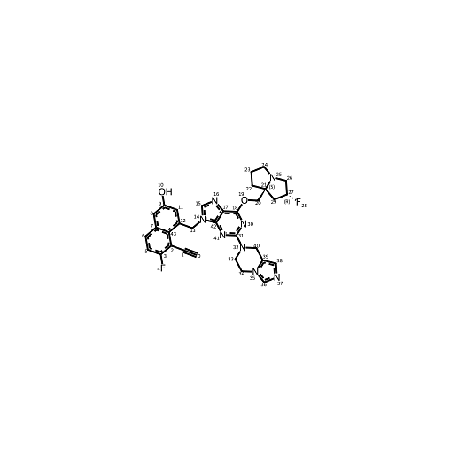 C#Cc1c(F)ccc2cc(O)cc(Cn3cnc4c(OC[C@@]56CCCN5C[C@H](F)C6)nc(N5CCn6cncc6C5)nc43)c12